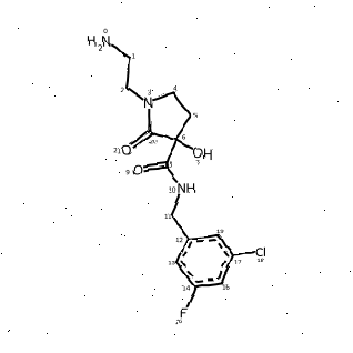 NCCN1CCC(O)(C(=O)NCc2cc(F)cc(Cl)c2)C1=O